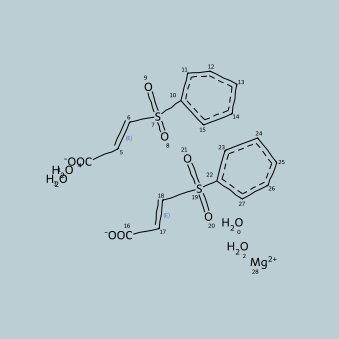 O.O.O.O.O=C([O-])/C=C/S(=O)(=O)c1ccccc1.O=C([O-])/C=C/S(=O)(=O)c1ccccc1.[Mg+2]